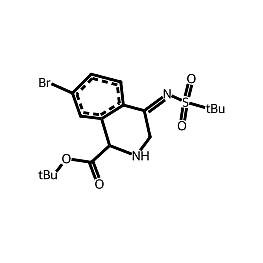 CC(C)(C)OC(=O)C1NCC(=NS(=O)(=O)C(C)(C)C)c2ccc(Br)cc21